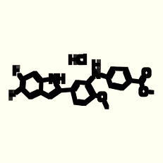 COC(=O)c1ccc(Nc2cc(-c3cc4cc(F)c(F)cc4[nH]3)ccc2OC)cc1.Cl